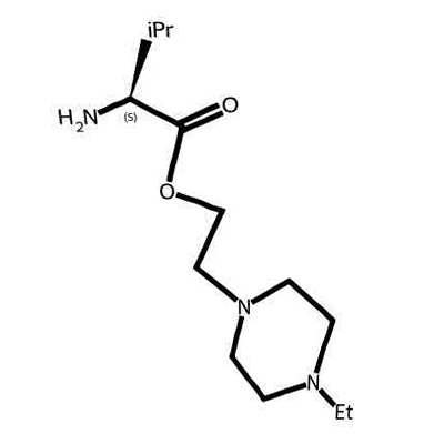 CCN1CCN(CCOC(=O)[C@@H](N)C(C)C)CC1